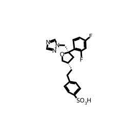 O=S(=O)(O)c1ccc(CC[C@@H]2CO[C@@](Cn3cncn3)(c3ccc(F)cc3F)C2)cc1